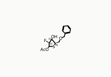 CC(=O)OC1S[C@H](COCc2ccccc2)[C@@H](O)[C@@H]1F